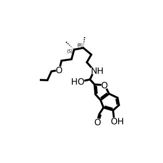 CCCOCC[C@H](C)[C@H](C)CCNC(O)c1cc2c(C=O)c(O)ccc2o1